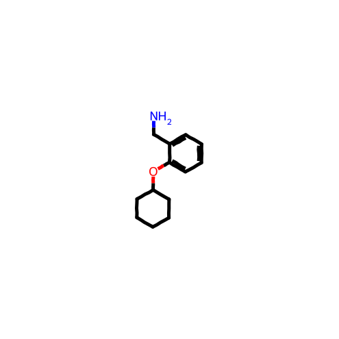 NCc1ccccc1OC1CCCCC1